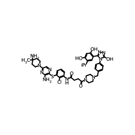 CC(C)c1cc(-c2nnc(O)n2-c2ccc(CN3CCN(C(=O)CCC(=O)Nc4cccc(Sc5ncc(N6CCC(C)(N)CC6)nc5N)c4Cl)CC3)cc2)c(O)cc1O